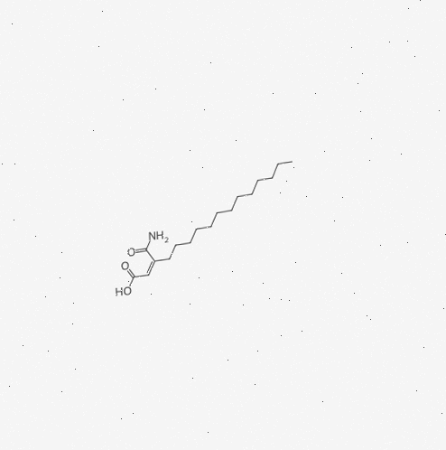 CCCCCCCCCCCCC/C(=C/C(=O)O)C(N)=O